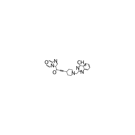 Cc1nc(CN2CCC(C#CC(=O)C3C=NC4=COC=CN43)CC2)nc2ccccc12